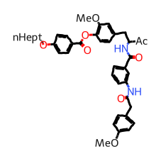 CCCCCCCOc1ccc(C(=O)Oc2ccc(CC(NC(=O)c3cccc(NC(=O)Cc4ccc(OC)cc4)c3)C(C)=O)cc2OC)cc1